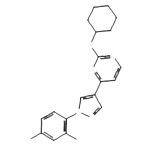 Fc1ccc(-n2cc(-c3ccnc(NC4CCCCC4)n3)cn2)c(F)c1